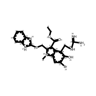 CCOC(=O)c1c(CSc2nc3ccccc3[nH]2)n(C)c2cc(Br)c(O)c(CNC(=N)N)c12